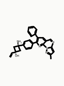 C=C[C@]1(O)C[C@@](N)(c2ccc(-c3nc4c(cnc5cc(C)nn54)cc3-c3ccccc3)cc2)C1